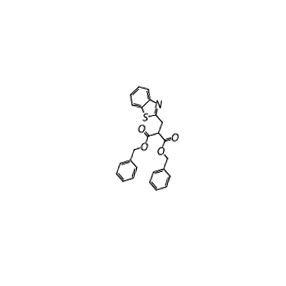 O=C(OCc1ccccc1)C(Cc1nc2ccccc2s1)C(=O)OCc1ccccc1